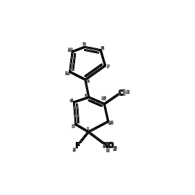 O=[N+]([O-])C1(F)C=CC(c2ccccc2)=C(Cl)C1